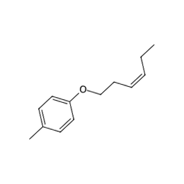 CC/C=C\CCOc1ccc(C)cc1